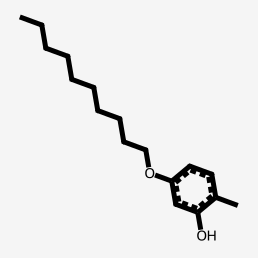 CCCCCCCCCCOc1ccc(C)c(O)c1